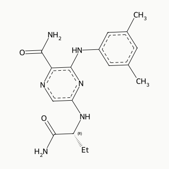 CC[C@@H](Nc1cnc(C(N)=O)c(Nc2cc(C)cc(C)c2)n1)C(N)=O